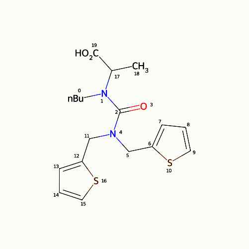 CCCCN(C(=O)N(Cc1cccs1)Cc1cccs1)C(C)C(=O)O